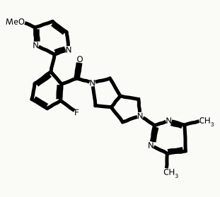 COc1ccnc(-c2cccc(F)c2C(=O)N2CC3CN(c4nc(C)cc(C)n4)CC3C2)n1